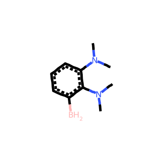 Bc1cccc(N(C)C)c1N(C)C